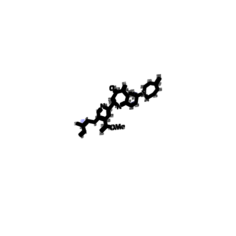 C=C/C(C)=C\Cc1cnc(C2=CC(=O)C(=C)CC(/C=C\C(=C/C)N3CCCC(=C)CC3)=N2)cc1C(=C)OC